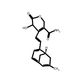 CC1=CC2=CC=C(/C=C/C3=C(C(N)=O)COC(=O)C3O)[C@H](C1)C2